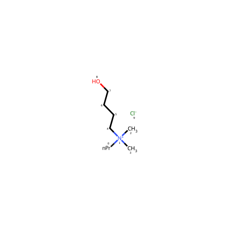 CCC[N+](C)(C)CCCCO.[Cl-]